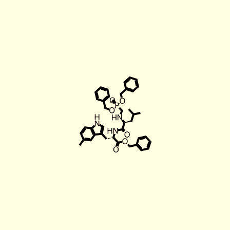 Cc1ccc2[nH]cc(C[C@H](NC(=O)[C@H](CC(C)C)NCP(=O)(OCc3ccccc3)OCc3ccccc3)C(=O)OCc3ccccc3)c2c1